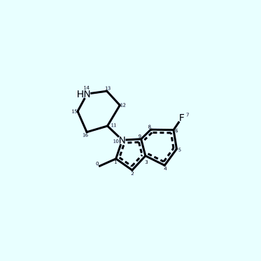 Cc1cc2ccc(F)cc2n1C1CCNCC1